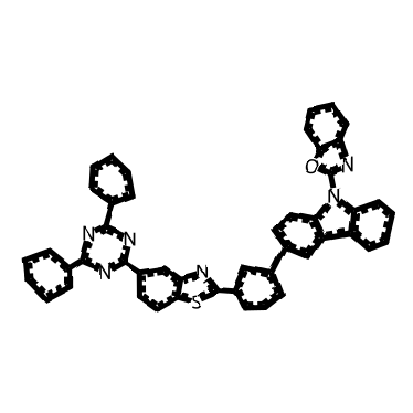 c1ccc(-c2nc(-c3ccccc3)nc(-c3ccc4sc(-c5cccc(-c6ccc7c(c6)c6ccccc6n7-c6nc7ccccc7o6)c5)nc4c3)n2)cc1